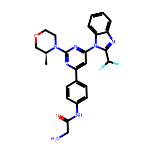 C[C@H]1COCCN1c1nc(-c2ccc(NC(=O)CN)cc2)cc(-n2c(C(F)F)nc3ccccc32)n1